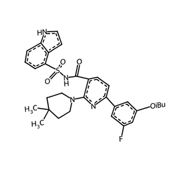 CC(C)COc1cc(F)cc(-c2ccc(C(=O)NS(=O)(=O)c3cccc4[nH]ccc34)c(N3CCC(C)(C)CC3)n2)c1